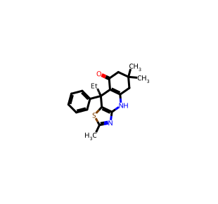 CCC1(c2ccccc2)C2=C(CC(C)(C)CC2=O)Nc2nc(C)sc21